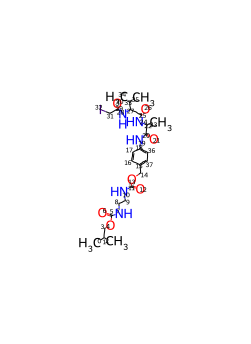 CC(C)COC(=O)NCCNC(=O)OCc1ccc(NC(=O)[C@H](C)NC(=O)[C@@H](NC(=O)CI)C(C)C)cc1